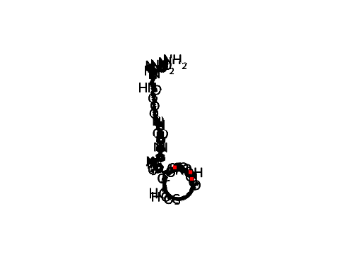 CO[C@@H]1C[C@H]2CC[C@H](C)[C@](O)(O2)C(=O)C(=O)N2CCCC[C@H]2C(=O)O[C@H]([C@@H](C)C[C@@H]2CC[C@H](n3nncc3-c3cccc(-c4cnc(N5CCN(S(=O)(=O)CCc6cn(CCOCCOCCOCCC(=O)NCCCCn7nc(-c8ccc9oc(N)nc9c8)c8c(N)ncnc87)nn6)CC5)nc4)c3)[C@H](OC)C2)CC(=O)[C@H](C)/C=C(/C)[C@H](O)[C@@H](O)C(=O)[C@H](C)C[C@H](C)\C=C/C=C\C=C/1C